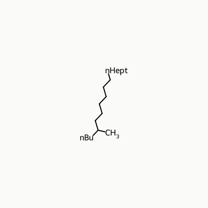 [CH2]CCCCCCCCCCCCC(C)CCC[CH2]